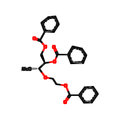 CO[C@@H](OCCOC(=O)c1ccccc1)[C@@H](COC(=O)c1ccccc1)OC(=O)c1ccccc1